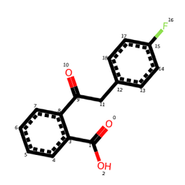 O=C(O)c1ccccc1C(=O)Cc1ccc(F)cc1